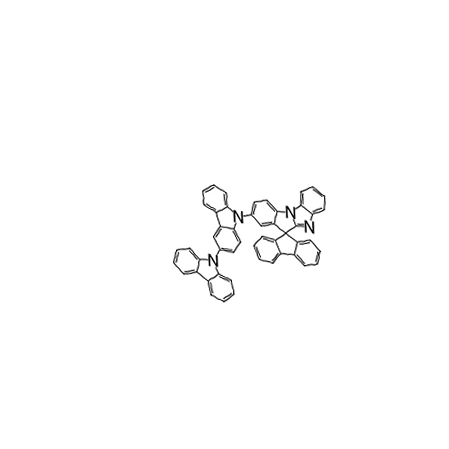 c1ccc2c(c1)-c1ccccc1C21c2cc(-n3c4ccccc4c4cc(-n5c6ccccc6c6ccccc65)ccc43)ccc2-n2c1nc1ccccc12